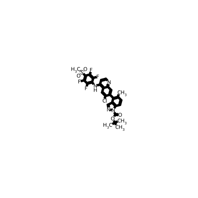 Cc1ccc2c(cnn2C(=O)OC(C)(C)C)c1-c1cc2nccc(Nc3c(F)c(F)c(S(C)(=O)=O)c(F)c3F)c2cc1Cl